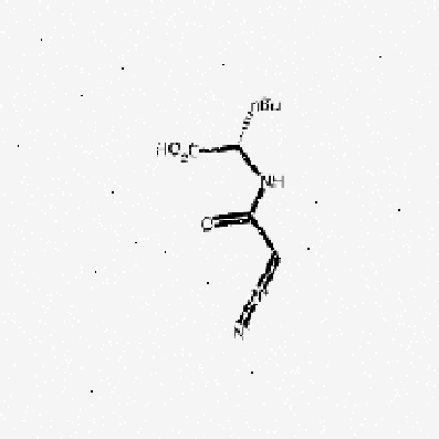 CCCC[C@H](NC(=O)C=[N+]=[N-])C(=O)O